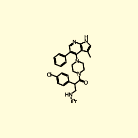 Cc1c[nH]c2ncc(-c3ccccc3)c(N3CCN(C(=O)C(CNC(C)C)c4ccc(Cl)cc4)CC3)c12